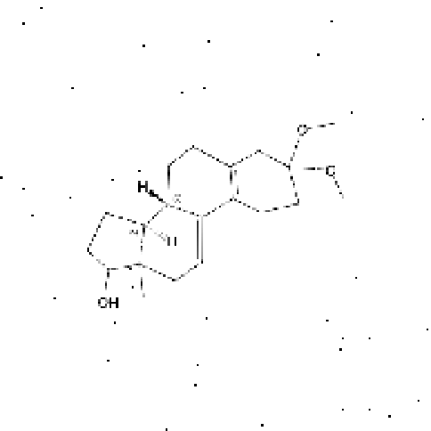 COC1(OC)CCC2=C(CC[C@@H]3C2=CCC2(C)C(O)CC[C@@H]32)C1